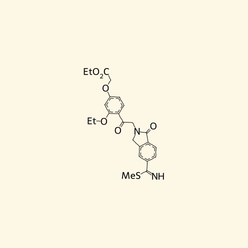 CCOC(=O)COc1ccc(C(=O)CN2Cc3cc(C(=N)SC)ccc3C2=O)c(OCC)c1